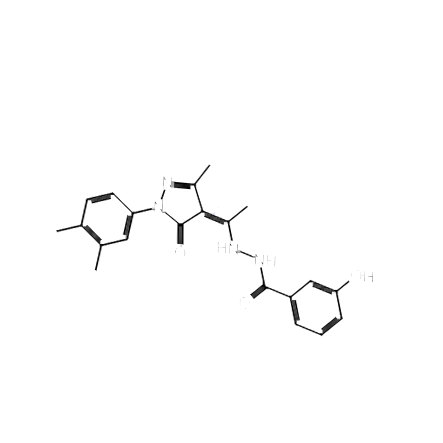 CC1=NN(c2ccc(C)c(C)c2)C(=O)/C1=C(/C)NNC(=O)c1cccc(O)c1